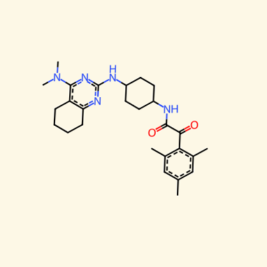 Cc1cc(C)c(C(=O)C(=O)NC2CCC(Nc3nc4c(c(N(C)C)n3)CCCC4)CC2)c(C)c1